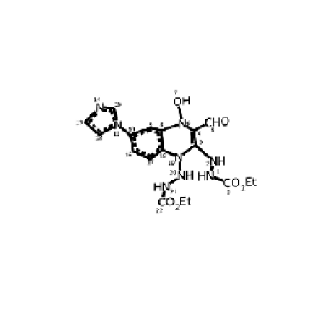 CCOC(=O)NNC1=C(C=O)N(O)c2cc(-n3ccnc3)ccc2N1NNC(=O)OCC